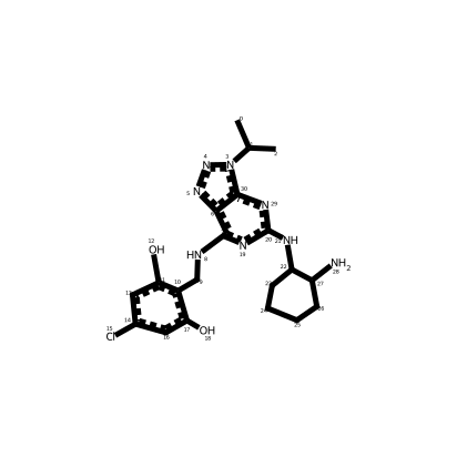 CC(C)n1nnc2c(NCc3c(O)cc(Cl)cc3O)nc(NC3CCCCC3N)nc21